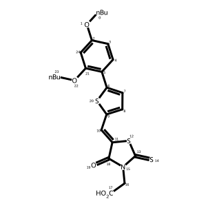 CCCCOc1ccc(-c2ccc(/C=C3\SC(=S)N(CC(=O)O)C3=O)s2)c(OCCCC)c1